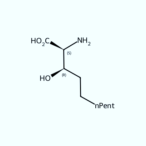 CCCCCCC[C@@H](O)[C@H](N)C(=O)O